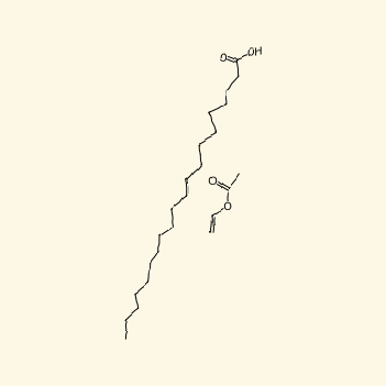 C=COC(C)=O.CCCCCCCCCCCCCCCCCCCC(=O)O